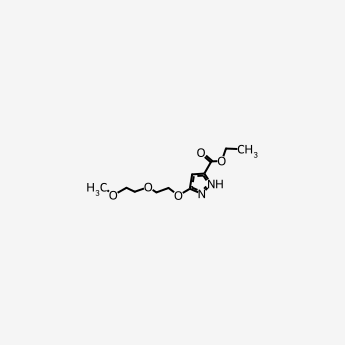 CCOC(=O)c1cc(OCCOCCOC)n[nH]1